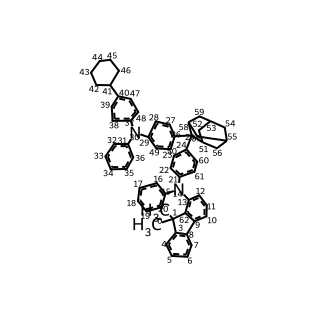 CC1(C)c2ccccc2-c2cccc(N(c3ccccc3)c3ccc(C4(c5ccc(N(c6ccccc6)c6ccc(C7CCCCC7)cc6)cc5)C5CC6CC(C5)CC4C6)cc3)c21